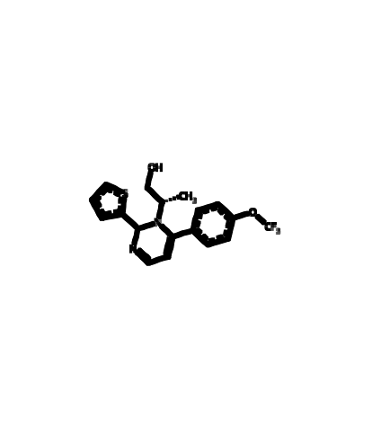 C[C@@H](CO)N1C(c2ccc(OC(F)(F)F)cc2)=CC=NC1c1cccs1